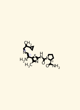 C=C(/C=N\C=C(/N)c1sc(NC(=O)N2CCC[C@H]2C(N)=O)nc1C)C1CC1